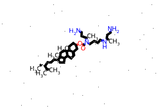 CC[C@H](CCCC1CCC2C3CC=C4CC(OC(=O)N(CCCCNC(C)CCN)C(C)CCN)CCC4(C)C3CC[C@]12C)C(C)C